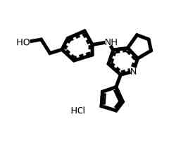 Cl.OCCc1ccc(Nc2cc(C3=C=CC=C3)nc3c2CCC3)cc1